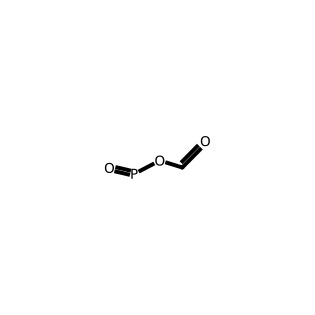 O=COP=O